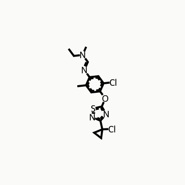 CCN(C)C=Nc1cc(Cl)c(Oc2nc(C3(Cl)CC3)ns2)cc1C